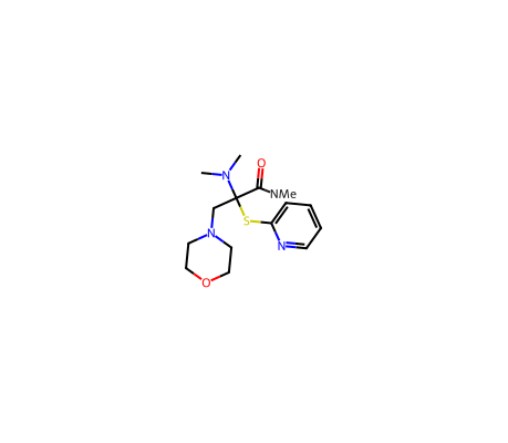 CNC(=O)C(CN1CCOCC1)(Sc1ccccn1)N(C)C